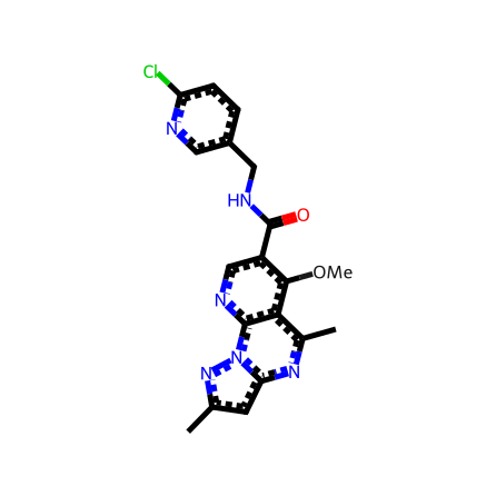 COc1c(C(=O)NCc2ccc(Cl)nc2)cnc2c1c(C)nc1cc(C)nn12